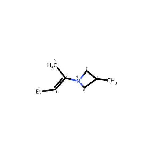 CCC=C(C)N1CC(C)C1